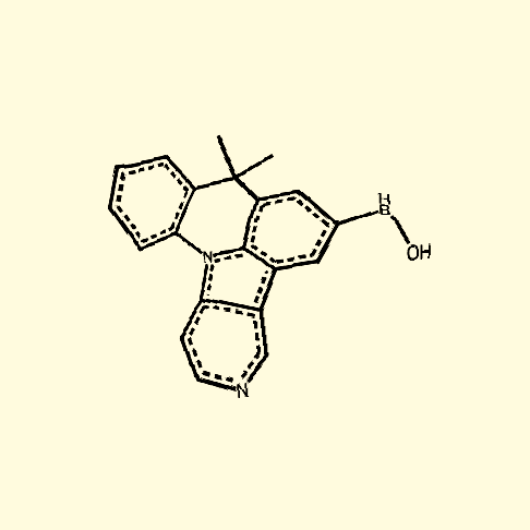 CC1(C)c2ccccc2-n2c3ccncc3c3cc(BO)cc1c32